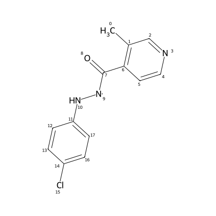 Cc1cnccc1C(=O)[N]Nc1ccc(Cl)cc1